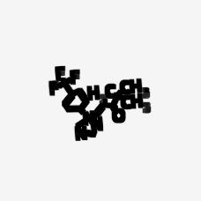 CC(C)(C)C(=O)C=C1N2C=NC[N+]12c1ccc(C(F)(F)F)cc1